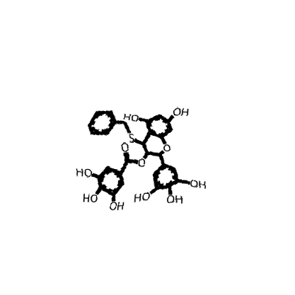 O=C(OC1C(c2cc(O)c(O)c(O)c2)Oc2cc(O)cc(O)c2C1SCc1ccccc1)c1cc(O)c(O)c(O)c1